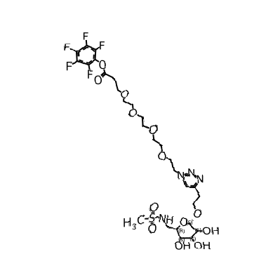 CS(=O)(=O)NC[C@H]1O[C@H](OCCc2cn(CCOCCOCCOCCOCCC(=O)Oc3c(F)c(F)c(F)c(F)c3F)nn2)[C@@H](O)[C@@H](O)[C@@H]1O